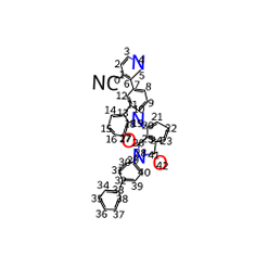 N#Cc1ccncc1-c1ccc2c(c1)c1ccccc1n2-c1cccc2c1C(=O)N(c1ccc(-c3ccccc3)cc1)C2=O